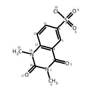 Cn1c(=O)c2cc(S(=O)(=O)Cl)ccc2n(C)c1=O